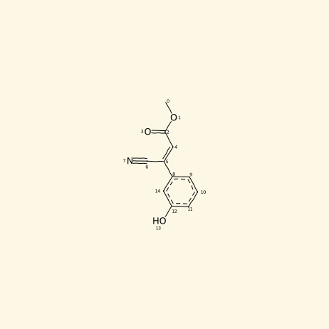 COC(=O)C=C(C#N)c1cccc(O)c1